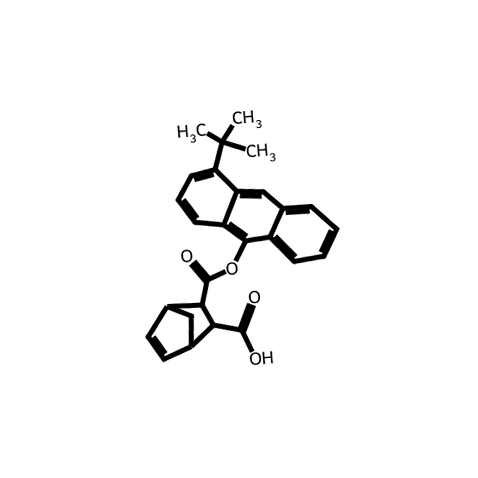 CC(C)(C)c1cccc2c(OC(=O)C3C4C=CC(C4)C3C(=O)O)c3ccccc3cc12